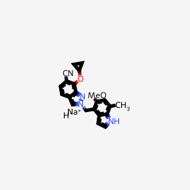 COc1cc(C)c2[nH]ccc2c1Cn1cc2ccc(C#N)c(OC3CC3)c2n1.[H-].[Na+]